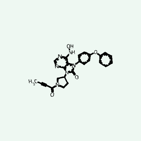 CC#CC(=O)N1CCC(n2c(=O)n(-c3ccc(Oc4ccccc4)cc3)c3c(NO)ncnc32)C1